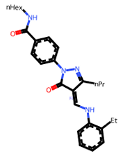 CCCCCCNC(=O)c1ccc(N2N=C(CCC)/C(=C\Nc3ccccc3CC)C2=O)cc1